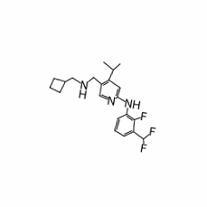 CC(C)c1cc(Nc2cccc(C(F)F)c2F)ncc1CNCC1CCC1